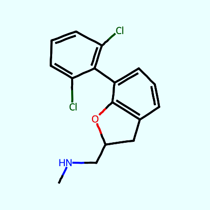 CNCC1Cc2cccc(-c3c(Cl)cccc3Cl)c2O1